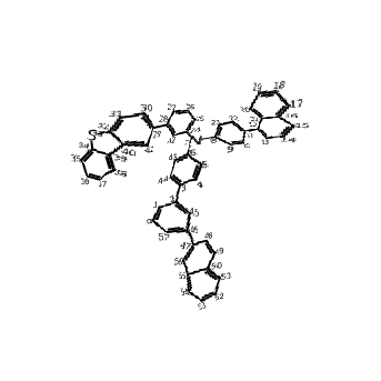 c1cc(-c2ccc(N(c3ccc(-c4cccc5ccccc45)cc3)c3cccc(-c4ccc5sc6ccccc6c5c4)c3)cc2)cc(-c2ccc3ccccc3c2)c1